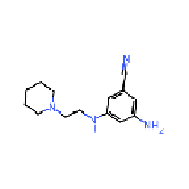 N#Cc1cc(N)cc(NCCN2CCCCC2)c1